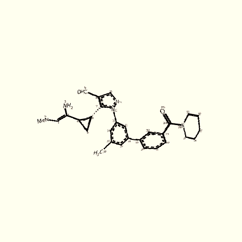 CN/C=C(\N)C1C[C@H]1c1c(C=O)cnn1-c1cc(C)cc(-c2cccc(C(=O)N3CCCCC3)c2)c1